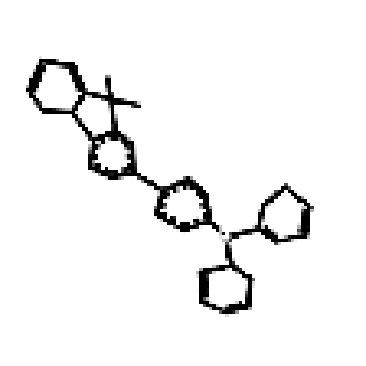 CC1(C)C2=CC=CCC2c2ccc(-c3ccc(N(C4=CC=CCC4)C4C=CC=CC4)cc3)cc21